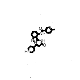 Cc1ccc(C(=O)Nc2cccc3nn4c(C5CCNCC5)cc(=O)[nH]c4c23)cc1